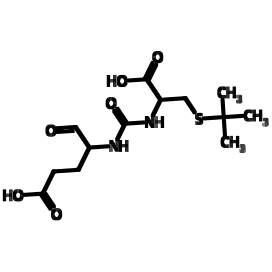 CC(C)(C)SCC(NC(=O)NC(C=O)CCC(=O)O)C(=O)O